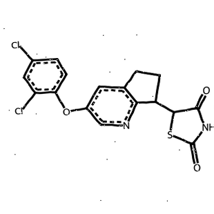 O=C1NC(=O)C(C2CCc3cc(Oc4ccc(Cl)cc4Cl)cnc32)S1